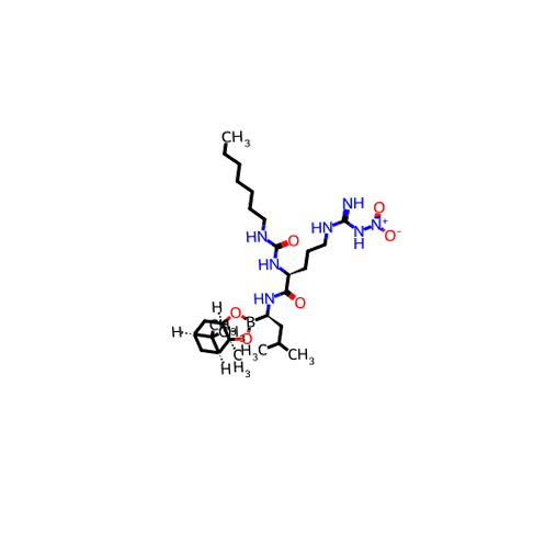 CCCCCCCNC(=O)N[C@@H](CCCNC(=N)N[N+](=O)[O-])C(=O)N[C@@H](CC(C)C)B1O[C@@H]2C[C@@H]3C[C@@H](C3(C)C)[C@]2(C)O1